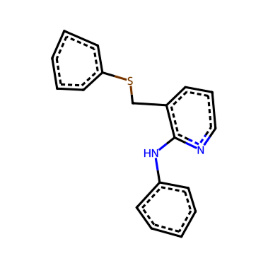 c1ccc(Nc2ncccc2CSc2ccccc2)cc1